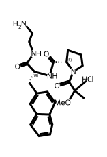 COC(C)(C)C(=O)N1CCC[C@H]1C(=O)N[C@H](Cc1ccc2ccccc2c1)C(=O)NCCN.Cl